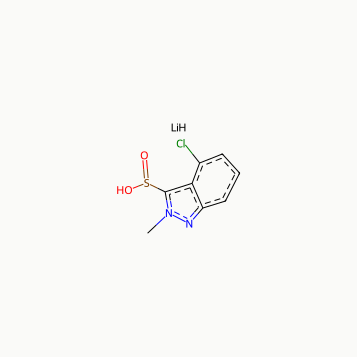 Cn1nc2cccc(Cl)c2c1S(=O)O.[LiH]